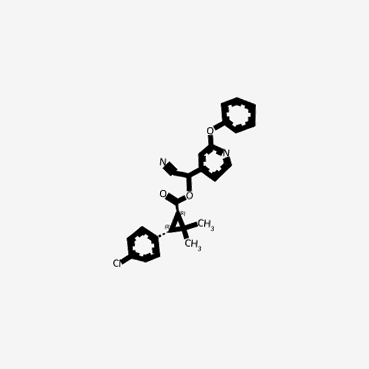 CC1(C)[C@H](C(=O)OC(C#N)c2ccnc(Oc3ccccc3)c2)[C@H]1c1ccc(Cl)cc1